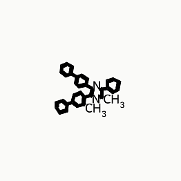 Cc1cc(-c2ccccc2)ccc1-c1nc(C)c(-c2ccccc2)nc1-c1ccc(-c2ccccc2)cc1